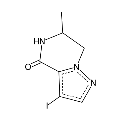 CC1Cn2ncc(I)c2C(=O)N1